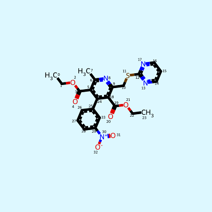 CCOC(=O)c1c(C)nc(CSc2ncccn2)c(C(=O)OCC)c1-c1cccc([N+](=O)[O-])c1